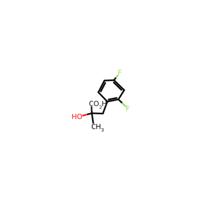 CC(O)(Cc1ccc(F)cc1F)C(=O)O